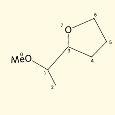 COC(C)C1CCCO1